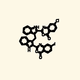 O=c1oc(-c2[nH]c3ccccc3c2Cc2c(-c3nc4cc(I)ccc4c(=O)o3)[nH]c3ccccc23)nc2cc(Cl)ccc12